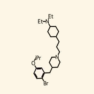 CCN(CC)C1CCC(CCCN2CCC(Cc3cc(OC(C)C)ccc3Br)CC2)CC1